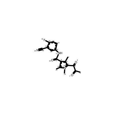 CC(=O)C(=O)c1c(C)c(C(=O)Nc2ccc(F)c(C#N)c2)c(C)n1C